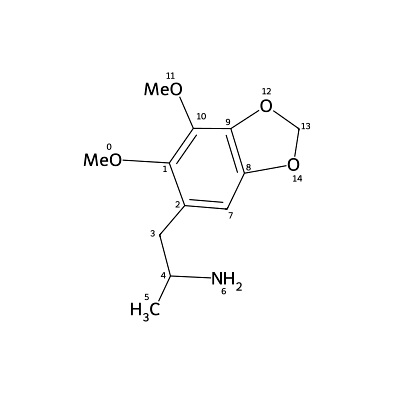 COc1c(CC(C)N)cc2c(c1OC)OCO2